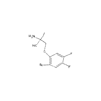 CC(N)(C#N)COc1cc(F)c(F)cc1Br